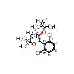 CC(O[Si](C)(C)C)[C@@H](O[Si](C)(C)C)c1c(Cl)cccc1Cl